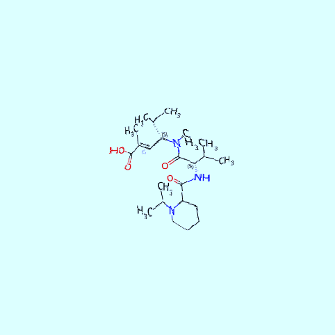 C/C(=C\[C@H](C(C)C)N(C)C(=O)[C@@H](NC(=O)C1CCCCN1C(C)C)C(C)C)C(=O)O